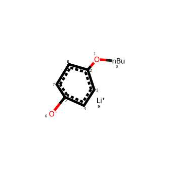 CCCCOc1ccc([O-])cc1.[Li+]